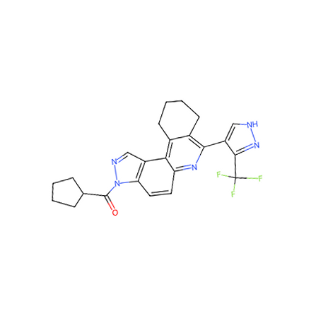 O=C(C1CCCC1)n1ncc2c3c4c(c(-c5c[nH]nc5C(F)(F)F)nc3ccc21)CCCC4